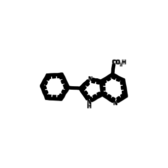 O=C(O)c1ccnc2[nH]c(-c3ccccc3)nc12